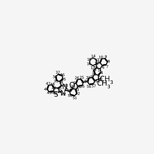 CC1(C)C2=CC3c4ccccc4C4(CCCCC4)C3C=C2c2cc(-c3ccc4oc5c(-c6nc(-c7ccccc7)c7c(n6)sc6ccccc67)cccc5c4c3)ccc21